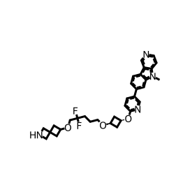 Cn1c2ccncc2c2ccc(-c3ccc(O[C@H]4C[C@H](OCCCC(F)(F)COC5CC6(CNC6)C5)C4)nc3)cc21